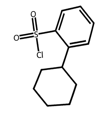 O=S(=O)(Cl)c1ccccc1C1CCCCC1